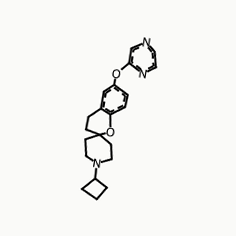 c1cnc(Oc2ccc3c(c2)CCC2(CCN(C4CCC4)CC2)O3)cn1